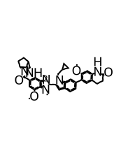 COc1cc2c(cc1-c1ccc3cc(-c4nc5cc(C(=O)N6CC7CCC6C7N)cc(OC)c5n4C)n(CC4CC4)c3c1)CCC(=O)N2